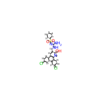 N/C(=N\S(=O)(=O)c1ccccc1)NCc1cc(-c2ccc(Cl)cc2)c(-c2ccc(Cl)cc2)nc1O